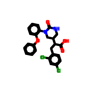 O=C(O)C(Cc1ccc(Cl)cc1Cl)C1CNC(=O)N(c2ccccc2Oc2ccccc2)C1